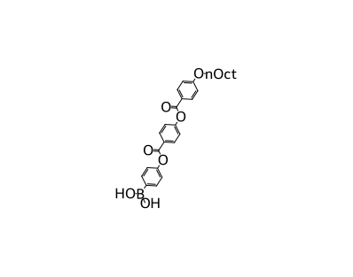 CCCCCCCCOc1ccc(C(=O)Oc2ccc(C(=O)Oc3ccc(B(O)O)cc3)cc2)cc1